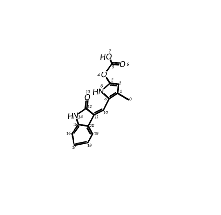 Cc1cc(OC(=O)O)[nH]c1C=C1C(=O)Nc2ccccc21